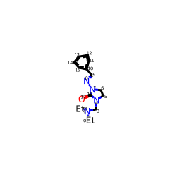 CCN(CC)CN1CCN(N=Cc2ccccc2)C1=O